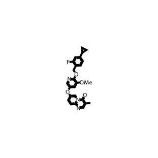 COc1cc(Oc2ccc3ncc(C)c(=O)n3c2)cnc1OCc1ccc(C2CC2)cc1F